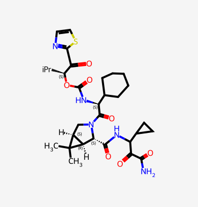 CC(C)[C@H](OC(=O)N[C@H](C(=O)N1C[C@H]2[C@@H]([C@H]1C(=O)NC(C(=O)C(N)=O)C1CC1)C2(C)C)C1CCCCC1)C(=O)c1nccs1